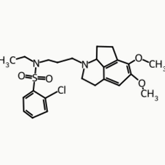 CCN(CCCN1CCc2cc(OC)c(OC)c3c2C1CC3)S(=O)(=O)c1ccccc1Cl